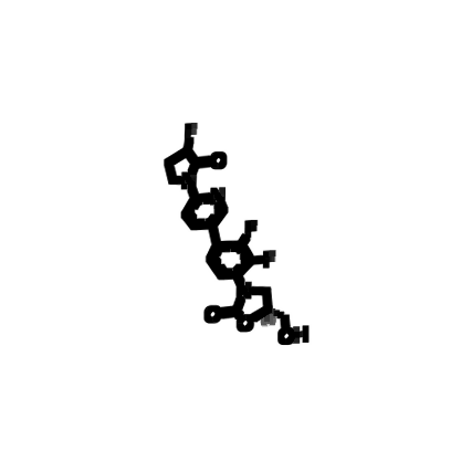 O=C1C(F)CCN1c1ccc(-c2ccc(N3C[C@H](CO)OC3=O)c(F)c2F)cn1